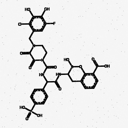 O=C(O)c1cccc2c1OB(O)C(NC(=O)C(NC(=O)N1CCN(Cc3cc(F)c(O)c(O)c3Cl)C(=O)C1=O)c1ccc(P(=O)(O)O)cc1)C2